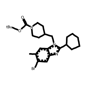 Cc1cc2c(cc1Br)nc(C1CCCCC1)n2CC1CCN(C(=O)OC(C)(C)C)CC1